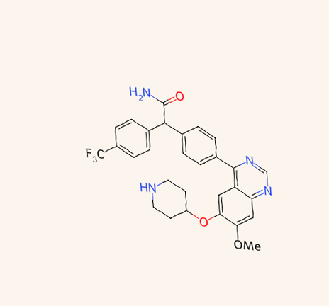 COc1cc2ncnc(-c3ccc(C(C(N)=O)c4ccc(C(F)(F)F)cc4)cc3)c2cc1OC1CCNCC1